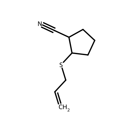 C=CCSC1CCCC1C#N